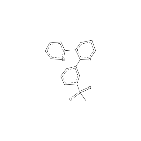 CS(=O)(=O)c1cccc(-c2ncccc2-c2ccccn2)c1